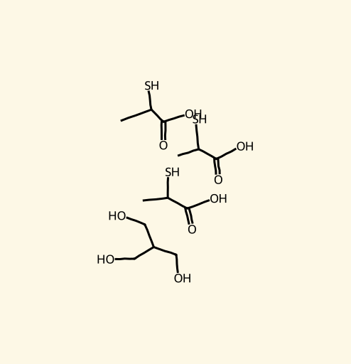 CC(S)C(=O)O.CC(S)C(=O)O.CC(S)C(=O)O.OCC(CO)CO